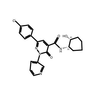 O=C(N[C@H]1CCCC[C@H]1O)c1cc(-c2ccc(Cl)cc2)nn(-c2cccnc2)c1=O